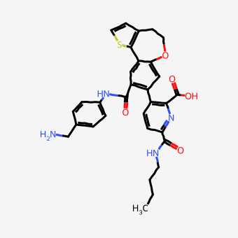 CCCCNC(=O)c1ccc(-c2cc3c(cc2C(=O)Nc2ccc(CN)cc2)-c2sccc2CCO3)c(C(=O)O)n1